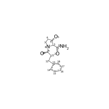 NC(=O)C1C(=O)CCN1C(=O)[CH]Cc1ccccc1